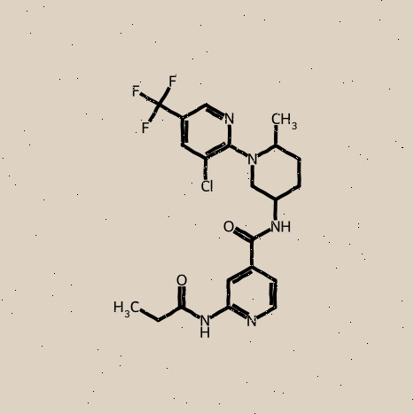 CCC(=O)Nc1cc(C(=O)NC2CCC(C)N(c3ncc(C(F)(F)F)cc3Cl)C2)ccn1